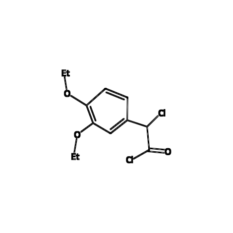 CCOc1ccc(C(Cl)C(=O)Cl)cc1OCC